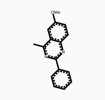 COc1ccc2nc(-c3ccccc3)nc(C)c2c1